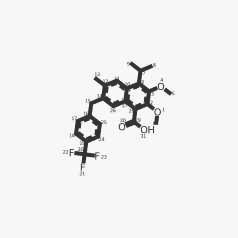 COc1c(OC)c(C(C)C)c2cc(C)c(Cc3ccc(C(F)(F)F)cc3)cc2c1C(=O)O